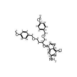 COc1ccc(COCCC(COCc2ccc(OC)cc2)On2cnc3c(Cl)nc(N)nc32)cc1